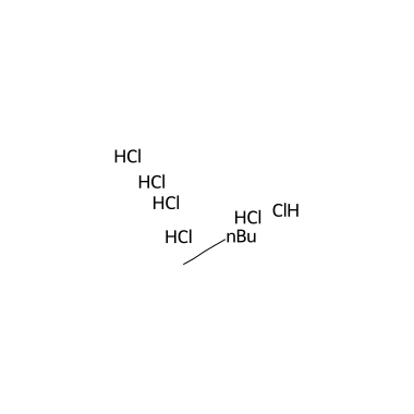 CCCCC.Cl.Cl.Cl.Cl.Cl.Cl